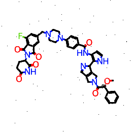 CO[C@@H](C(=O)N1CC2=C(C1)C(c1[nH]ccc1NC(=O)c1ccc(N3CCN(Cc4cc(F)c5c(c4)C(=O)N(C4CCC(=O)NC4=O)C5=O)CC3)cc1)N=C2)c1ccccc1